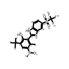 Cc1c([S@+](C)[O-])cc(C(C)(C)C)c(O)c1-c1nc2cc(S(=O)(=O)C(F)(F)F)ccc2[nH]1